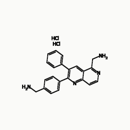 Cl.Cl.NCc1ccc(-c2nc3ccnc(CN)c3cc2-c2ccccc2)cc1